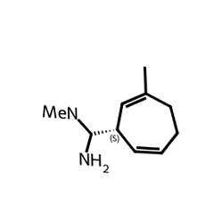 CNC(N)[C@H]1C=CCCC(C)=C1